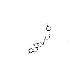 C[C@]12C=CC(=O)C=C1CC[C@@H]1[C@@H]2[C@@H](O)C[C@@]2(C)[C@H]1C[C@H]1O[C@@H](C34CCC(Cc5ccc(N)cc5)(CC3)CC4)O[C@]12C(=O)CO